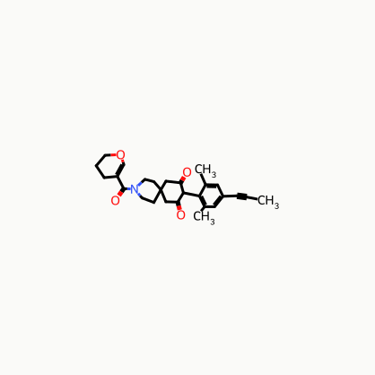 CC#Cc1cc(C)c(C2C(=O)CC3(CCN(C(=O)C4=COCCC4)CC3)CC2=O)c(C)c1